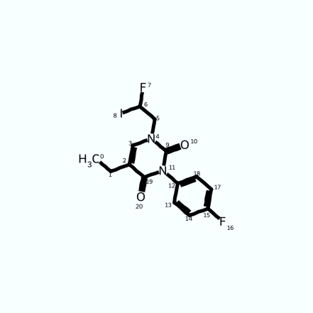 CCc1cn(CC(F)I)c(=O)n(-c2ccc(F)cc2)c1=O